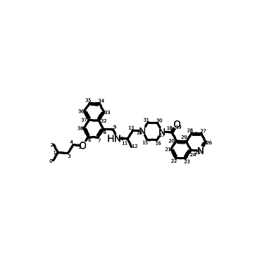 CC(C)CCOc1cc(CNC(C)CN2CCN(C(=O)c3cccc4ncccc34)CC2)c2ccccc2c1